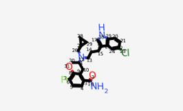 NC(=O)c1ccc(F)c2c1CC(N(CCCc1c[nH]c3ccc(Cl)cc13)CC1CC1)CO2